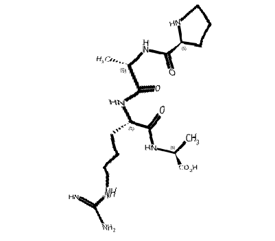 C[C@H](NC(=O)[C@H](CCCNC(=N)N)NC(=O)[C@H](C)NC(=O)[C@@H]1CCCN1)C(=O)O